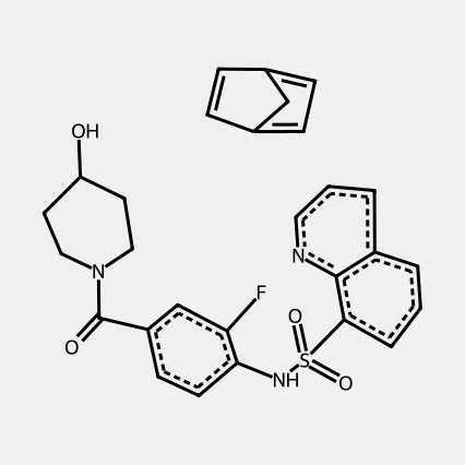 C1=CC2=CC=C1C2.O=C(c1ccc(NS(=O)(=O)c2cccc3cccnc23)c(F)c1)N1CCC(O)CC1